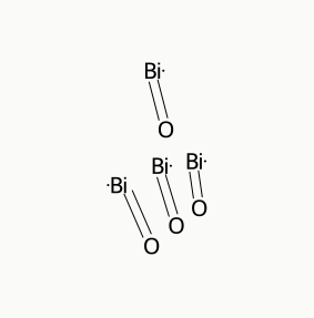 [O]=[Bi].[O]=[Bi].[O]=[Bi].[O]=[Bi]